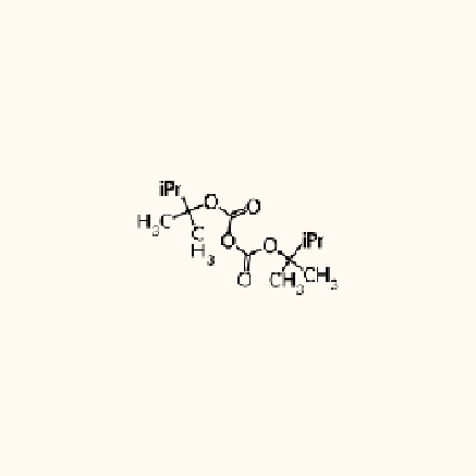 CC(C)C(C)(C)OC(=O)OC(=O)OC(C)(C)C(C)C